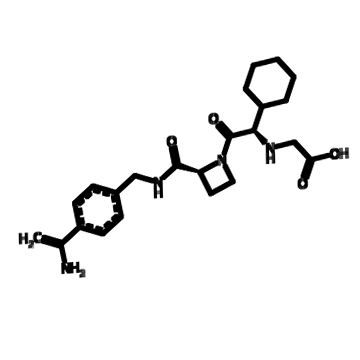 C=C(N)c1ccc(CNC(=O)[C@@H]2CCN2C(=O)[C@H](NCC(=O)O)C2CCCCC2)cc1